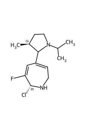 CC(C)N1CC[C@H](C)C1C1=CCN[C@H](Cl)C(F)=C1